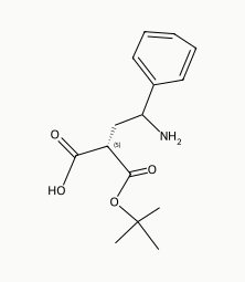 CC(C)(C)OC(=O)[C@@H](CC(N)c1ccccc1)C(=O)O